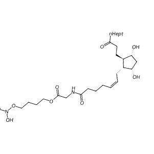 CCCCCCCC(=O)CC[C@@H]1[C@@H](C/C=C\CCCC(=O)NCC(=O)OCCCCON(O)O)[C@@H](O)C[C@H]1O